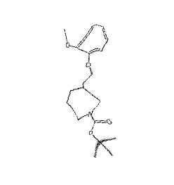 COc1ccccc1OCC1CCCN(C(=O)OC(C)(C)C)C1